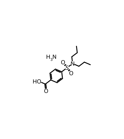 CCCN(CCC)S(=O)(=O)c1ccc(C(=O)O)cc1.N